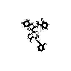 Cc1ccccc1CNC(=O)[C@@H]1C(C)SCN1C(=O)[C@@H](O)[C@H](Cc1ccccc1)NC(=O)c1c(F)cccc1F